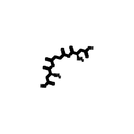 N[C@@H](CC(=O)O)C(=O)OC(=O)CCC(=O)OC(=O)[C@@H](N)CC(=O)O